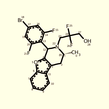 C[C@@H]1Cc2c(oc3ccccc23)C(c2c(F)cc(Br)cc2F)N1CC(F)(F)CO